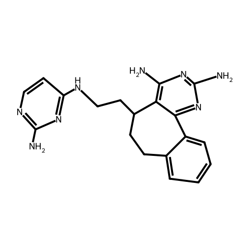 Nc1nccc(NCCC2CCc3ccccc3-c3nc(N)nc(N)c32)n1